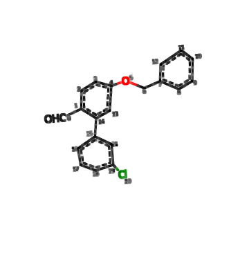 O=Cc1ccc(OCc2ccccc2)cc1-c1cccc(Cl)c1